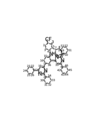 FC(F)(F)c1ccc2c(c1)c1ccccc1n2-c1ccc(-c2cc(-c3ccccc3)nc(-c3ccccc3)n2)cc1-c1cc(-c2ccccc2)nc(-c2ccccc2)n1